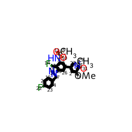 COc1cc(-c2cc(NS(C)(=O)=O)c3c(F)nn(Cc4ccc(F)cc4)c3c2)cn(C)c1=O